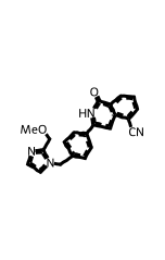 COCc1nccn1Cc1ccc(-c2cc3c(C#N)cccc3c(=O)[nH]2)cc1